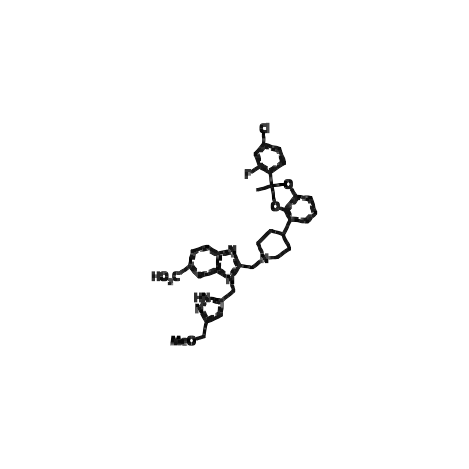 COCc1cc(Cn2c(CN3CCC(c4cccc5c4OC(C)(c4ccc(Cl)cc4F)O5)CC3)nc3ccc(C(=O)O)cc32)[nH]n1